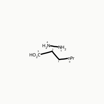 CCCCCC(=O)O.NN